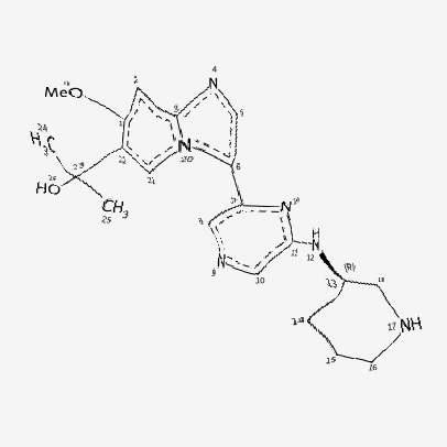 COc1cc2ncc(-c3cncc(N[C@@H]4CCCNC4)n3)n2cc1C(C)(C)O